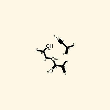 C=C(C)C#N.C=C(C)C(=O)OCC(C)O